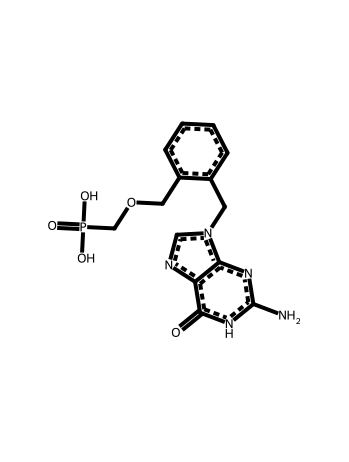 Nc1nc2c(ncn2Cc2ccccc2COCP(=O)(O)O)c(=O)[nH]1